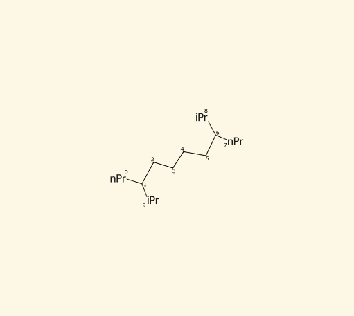 CCCC(CCCCC(CCC)C(C)C)C(C)C